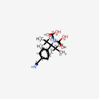 CC(C)(C)C(c1ccc(C#N)cc1)(N(C(=O)O)C(=O)O)C(C)(C)C